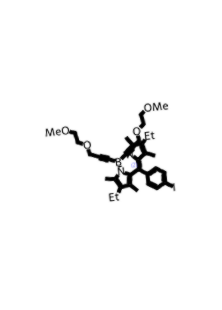 CCC1=C(C)/C(=C(\c2ccc(I)cc2)c2c(C)c(CC)c(C)n2B(C#CCOCCOC)C#CCOCCOC)N=C1C